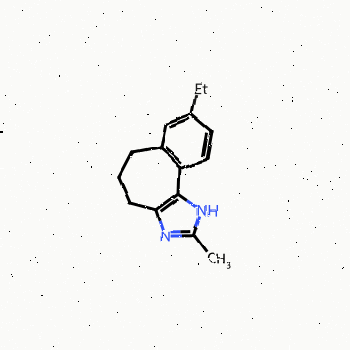 CCc1ccc2c(c1)CCCc1nc(C)[nH]c1-2